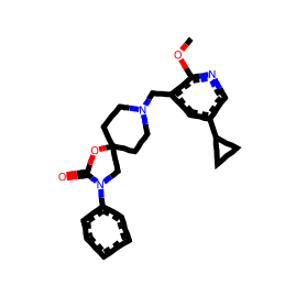 COc1ncc(C2CC2)cc1CN1CCC2(CC1)CN(c1ccccc1)C(=O)O2